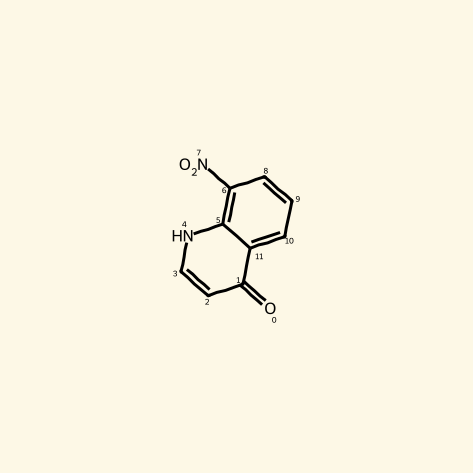 O=c1cc[nH]c2c([N+](=O)[O-])cccc12